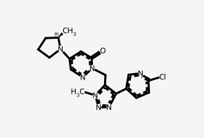 C[C@@H]1CCCN1c1cnn(Cc2c(-c3ccc(Cl)nc3)nnn2C)c(=O)c1